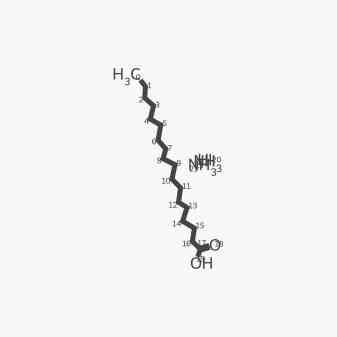 CCCCCCCCCCCCCCCCCC(=O)O.I.N.N